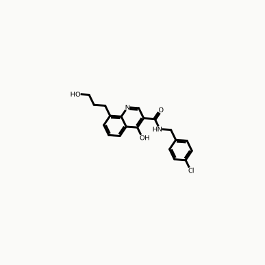 O=C(NCc1ccc(Cl)cc1)c1cnc2c(CCCO)cccc2c1O